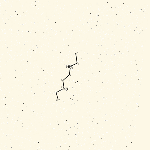 [CH2]CNCCNCC